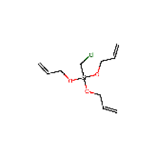 C=CCO[Si](CCl)(OCC=C)OCC=C